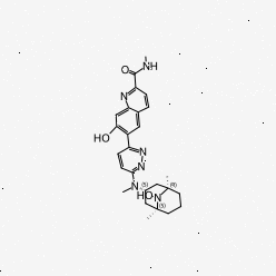 CNC(=O)c1ccc2cc(-c3ccc(N(C)[C@H]4C[C@]5(C)CCC[C@](C)(C4)N5O)nn3)c(O)cc2n1